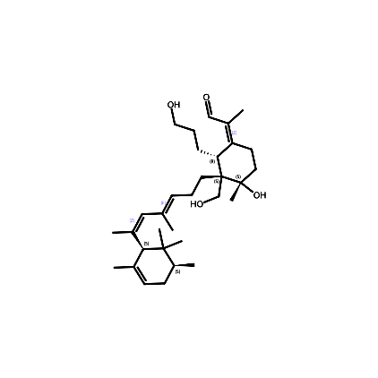 CC1=CC[C@H](C)C(C)(C)[C@@H]1/C(C)=C\C(C)=C\CC[C@@]1(CO)[C@H](CCCO)/C(=C(/C)C=O)CC[C@]1(C)O